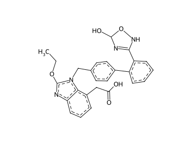 CCOc1nc2cccc(CC(=O)O)c2n1Cc1ccc(-c2ccccc2C2=NC(O)ON2)cc1